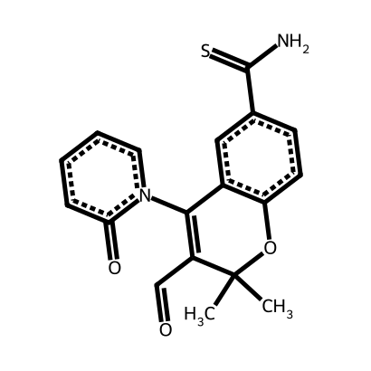 CC1(C)Oc2ccc(C(N)=S)cc2C(n2ccccc2=O)=C1C=O